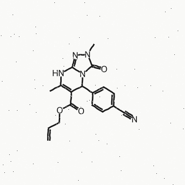 C=CCOC(=O)C1=C(C)Nc2nn(C)c(=O)n2C1c1ccc(C#N)cc1